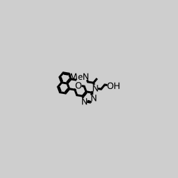 CNCC(C)N(CCO)c1ncnc2c1COC(c1cccc3cccc(C)c13)C2